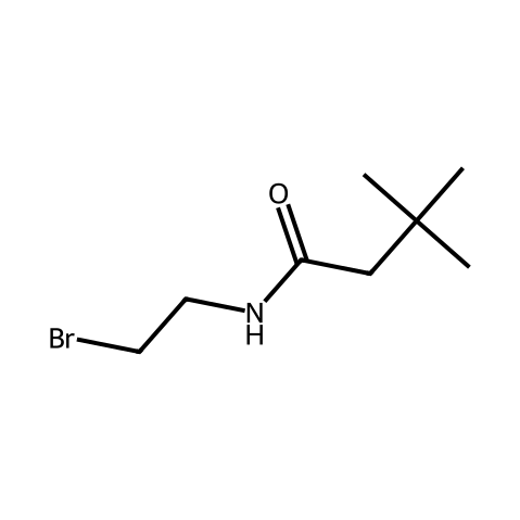 CC(C)(C)CC(=O)NCCBr